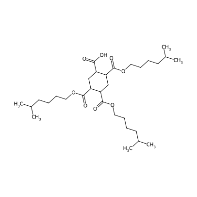 CC(C)CCCCOC(=O)C1CC(C(=O)OCCCCC(C)C)C(C(=O)OCCCCC(C)C)CC1C(=O)O